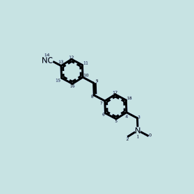 CN(C)Cc1ccc(/C=C/c2ccc(C#N)cc2)cc1